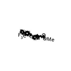 COC(=O)CCc1cc2cc(OCc3ccc(C4CCCC4)c(C(F)(F)F)c3)ccn2n1